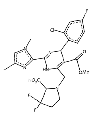 COC(=O)C1=C(CN2CCC(F)(F)C2C(=O)O)NC(c2nc(C)cn2C)=NC1c1ccc(F)cc1Cl